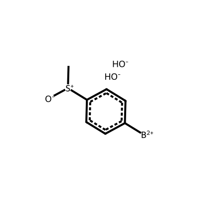 [B+2]c1ccc([S+](C)[O-])cc1.[OH-].[OH-]